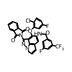 O=C(Nc1cc2c3c(c(N4C(=O)c5ccccc5C4=O)nn3CC=C2)c1Oc1cc(F)ccc1Cl)c1cc(F)cc(C(F)(F)F)c1